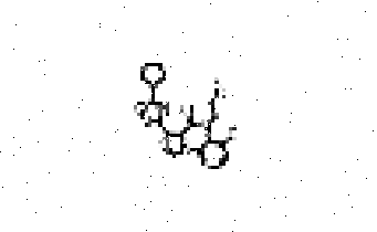 COCCn1c(=O)c2c(-c3noc(C4CCCC4)n3)ncn2c2cccc(Cl)c21